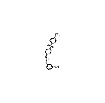 N#Cc1cccc(CON=C2CCN(S(=O)(=O)c3ccc(C(F)(F)F)cc3)CC2)c1